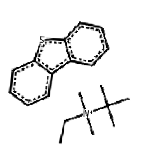 CC[N+](C)(C)C(C)(C)C.c1ccc2c(c1)sc1ccccc12